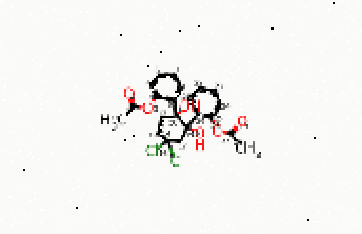 CC(=O)Oc1ccccc1C1(O)C=[C]C(Cl)(Cl)CC1(O)c1ccccc1OC(C)=O